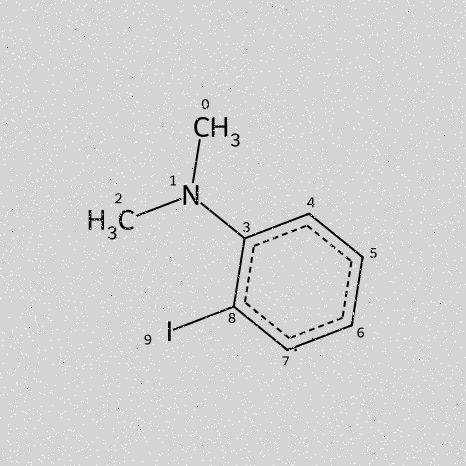 CN(C)c1ccc[c]c1I